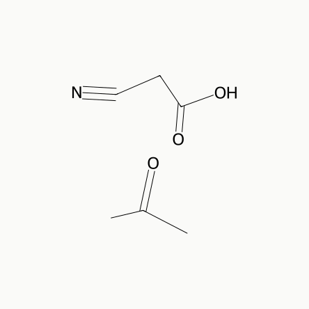 CC(C)=O.N#CCC(=O)O